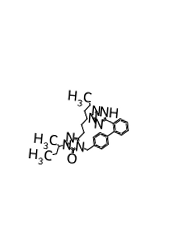 CCCCCCc1nn(C(C)CC)c(=O)n1Cc1ccc(-c2ccccc2-c2nnn[nH]2)cc1